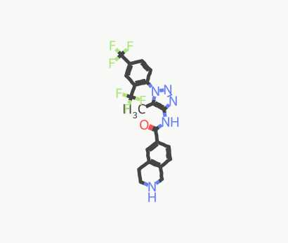 Cc1c(NC(=O)c2ccc3c(c2)CCNC3)nnn1-c1ccc(C(F)(F)F)cc1C(F)(F)F